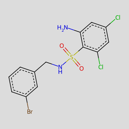 Nc1cc(Cl)cc(Cl)c1S(=O)(=O)NCc1cccc(Br)c1